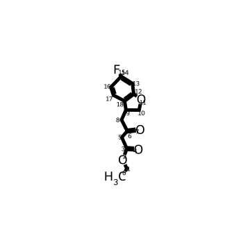 CCOC(=O)CC(=O)CC1COc2cc(F)ccc21